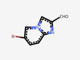 O=Cc1cn2cc(Br)ccc2n1